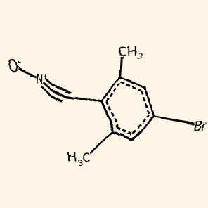 Cc1cc(Br)cc(C)c1C#[N+][O-]